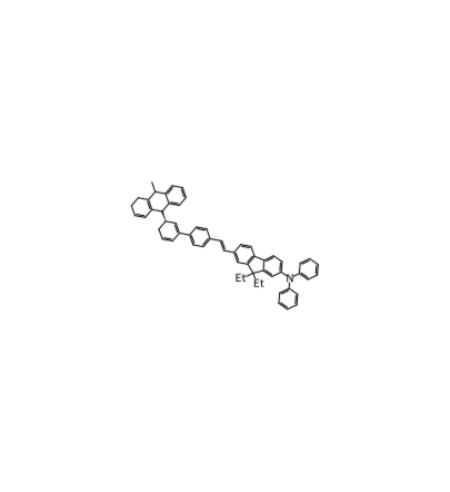 CCC1(CC)c2cc(/C=C/c3ccc(C4=C[C@H](C5C6=C(CCC=C6)C(C)c6ccccc65)CC=C4)cc3)ccc2-c2ccc(N(c3ccccc3)c3ccccc3)cc21